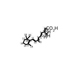 [2H]C([2H])([2H])C(/C=C/C=C(C)C=CC1=C(C)CCCC1(C)C)=C\C(=O)O